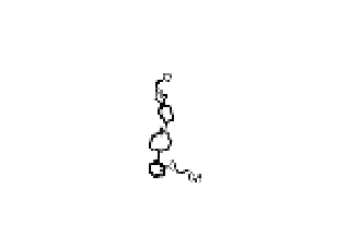 O=CN1CC2(CCC(N3CCC(c4ccccc4OCCO)CC3)C2)C1